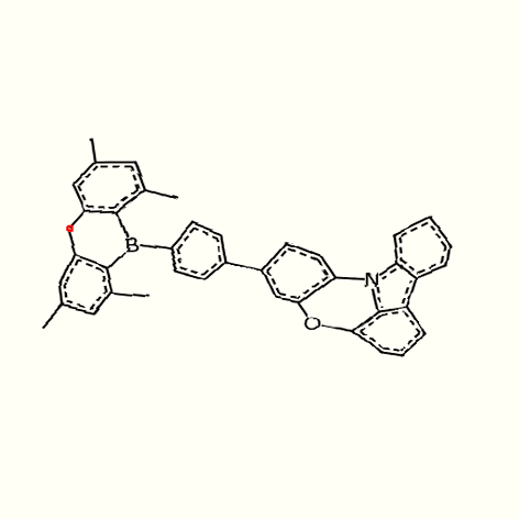 Cc1cc(C)c(B(c2ccc(-c3ccc4c(c3)Oc3cccc5c6ccccc6n-4c35)cc2)c2c(C)cc(C)cc2C)c(C)c1